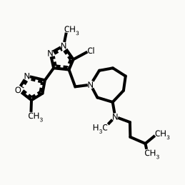 Cc1cc(-c2nn(C)c(Cl)c2CN2CCCCC(N(C)CCC(C)C)C2)no1